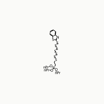 CCCO[Si](CCSSSSSSSc1nc2ccccc2s1)(OCCC)OCCC